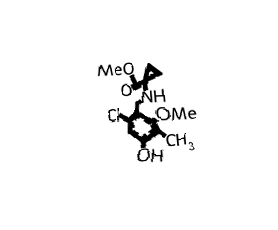 COC(=O)C1(NCc2c(Cl)cc(O)c(C)c2OC)CC1